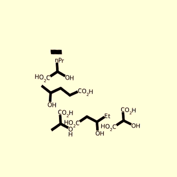 C=C.CC(O)C(=O)O.CC(O)CCC(=O)O.CCC(O)CC(=O)O.CCCC(O)C(=O)O.O=C(O)C(O)C(=O)O